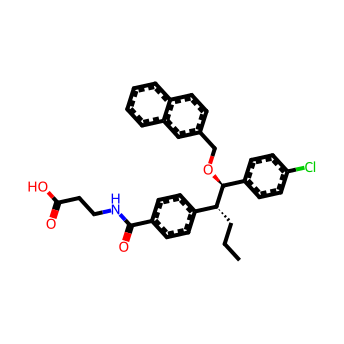 CCC[C@H](c1ccc(C(=O)NCCC(=O)O)cc1)[C@@H](OCc1ccc2ccccc2c1)c1ccc(Cl)cc1